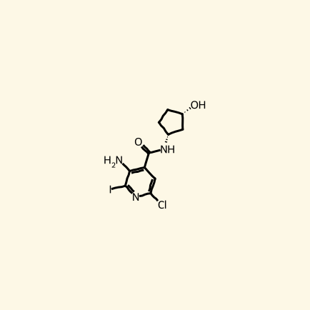 Nc1c(C(=O)N[C@@H]2CC[C@H](O)C2)cc(Cl)nc1I